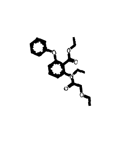 CCOCC(=O)N(CC)c1cccc(Oc2ccccc2)c1C(=O)OCC